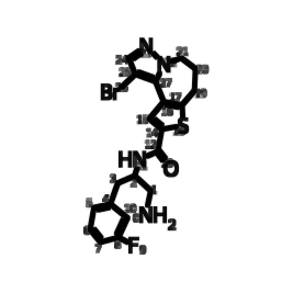 NCC(Cc1cccc(F)c1)NC(=O)c1cc2c(s1)CCCn1ncc(Br)c1-2